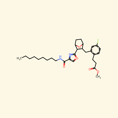 CCCCCCCCCNC(=O)c1coc(C2C3CCC(O3)C2Cc2cc(F)ccc2CCC(=O)OC)n1